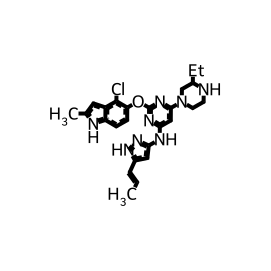 C/C=C/c1cc(Nc2cc(N3CCNC(CC)C3)nc(Oc3ccc4[nH]c(C)cc4c3Cl)n2)n[nH]1